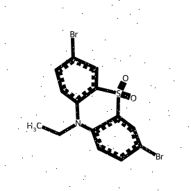 CCN1c2ccc(Br)cc2S(=O)(=O)c2cc(Br)ccc21